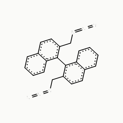 [N-]=[N+]=NCc1ccc2ccccc2c1-c1c(CN=[N+]=[N-])ccc2ccccc12